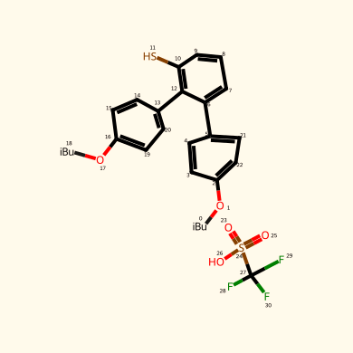 CCC(C)Oc1ccc(-c2cccc(S)c2-c2ccc(OC(C)CC)cc2)cc1.O=S(=O)(O)C(F)(F)F